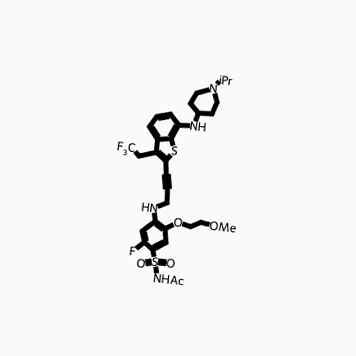 COCCOc1cc(S(=O)(=O)NC(C)=O)c(F)cc1NCC#Cc1sc2c(NC3CCN(C(C)C)CC3)cccc2c1CC(F)(F)F